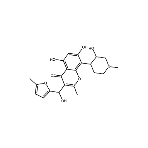 Cc1ccc(C(O)c2c(C)oc3c(C4CCN(C)CC4O)c(O)cc(O)c3c2=O)o1